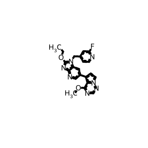 CCOc1nc2ncc(-c3ccn4ncnc(OC)c34)cc2n1Cc1ccnc(F)c1